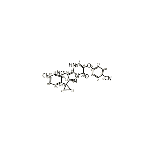 N#Cc1ccc(Oc2c[nH]c3c(C#N)c(C4(c5ccc(Cl)cc5)CC4)nn3c2=O)cc1